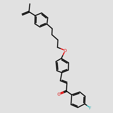 C=C(C)c1ccc(CCCCOc2ccc(/C=C/C(=O)c3ccc(F)cc3)cc2)cc1